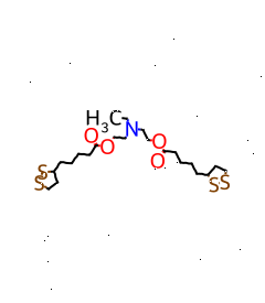 CCN(CCOC(=O)CCCCC1CCSS1)CCOC(=O)CCCCC1CCSS1